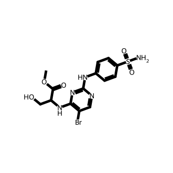 COC(=O)C(CO)Nc1nc(Nc2ccc(S(N)(=O)=O)cc2)ncc1Br